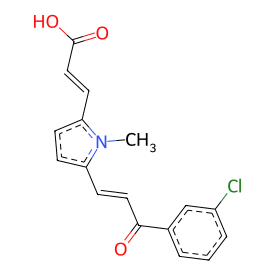 Cn1c(/C=C/C(=O)O)ccc1/C=C/C(=O)c1cccc(Cl)c1